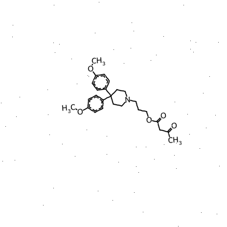 COc1ccc(C2(c3ccc(OC)cc3)CCN(CCCOC(=O)CC(C)=O)CC2)cc1